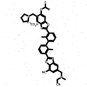 Cc1c(-c2nc3cc(CN4CCC[C@H]4C(=O)O)c(OC(F)F)cc3o2)cccc1-c1cccc(-c2nc3cc(CN(C)CC#N)cc(C#N)c3o2)c1C